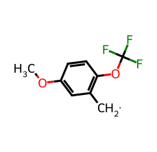 [CH2]c1cc(OC)ccc1OC(F)(F)F